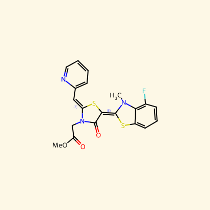 COC(=O)Cn1c(=O)/c(=C2\Sc3cccc(F)c3N2C)s/c1=C\c1ccccn1